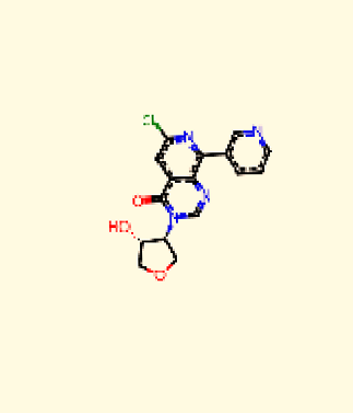 O=c1c2cc(Cl)nc(-c3cccnc3)c2ncn1[C@H]1COC[C@@H]1O